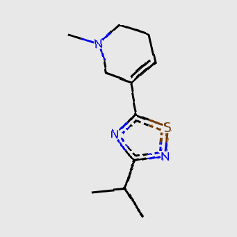 CC(C)c1nsc(C2=CCCN(C)C2)n1